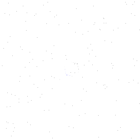 CN1CCC([O])CC1